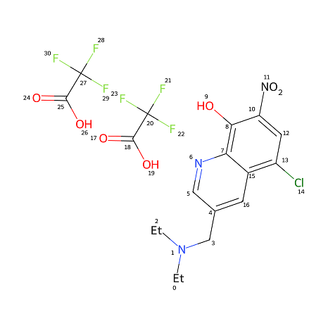 CCN(CC)Cc1cnc2c(O)c([N+](=O)[O-])cc(Cl)c2c1.O=C(O)C(F)(F)F.O=C(O)C(F)(F)F